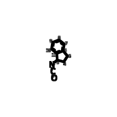 O=C=NC1CCc2ccccc21